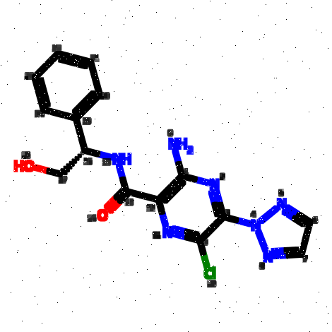 Nc1nc(-n2nccn2)c(Cl)nc1C(=O)N[C@H](CO)c1ccccc1